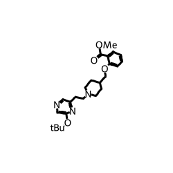 COC(=O)c1ccccc1OCC1CCN(CCc2cncc(OC(C)(C)C)n2)CC1